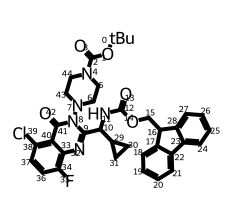 CC(C)(C)OC(=O)N1CCN(n2c(C(NC(=O)OCC3c4ccccc4-c4ccccc43)C3CC3)nc3c(F)ccc(Cl)c3c2=O)CC1